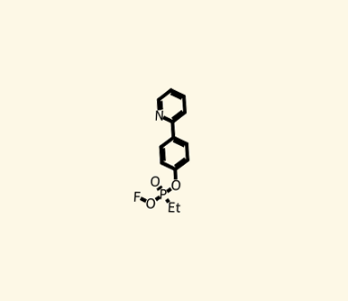 CCP(=O)(OF)Oc1ccc(-c2ccccn2)cc1